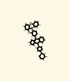 c1ccc(-c2ccc(-c3c4ccccc4c(-c4ccc5c(c4)Oc4cccc6c4B5c4ccccc4O6)c4ccccc34)cc2)cc1